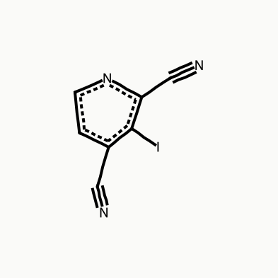 N#Cc1ccnc(C#N)c1I